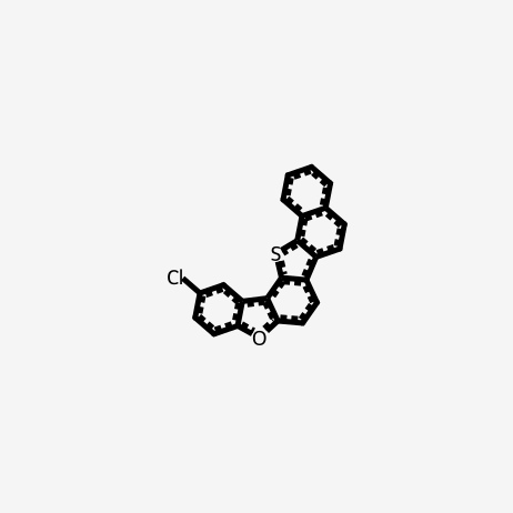 Clc1ccc2oc3ccc4c5ccc6ccccc6c5sc4c3c2c1